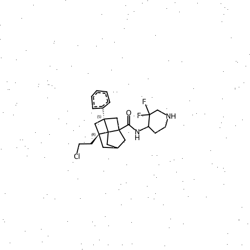 O=C(NC1CCNCC1(F)F)C12CC3CC14[C@](CCCl)(C3)C[C@@]4(c1ccccc1)C2